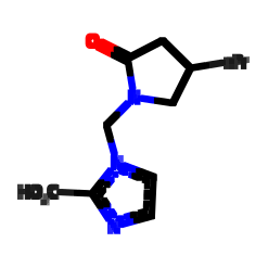 CCCC1CC(=O)N(Cn2ccnc2C(=O)O)C1